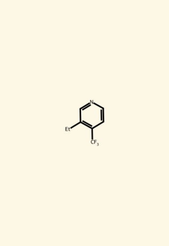 CCc1cnccc1C(F)(F)F